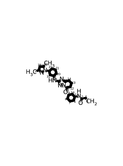 C=CC(=O)Nc1cccc(Oc2cccc3nc(Nc4cccc(-n5nc(C)cc5C)c4)nn23)c1